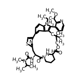 CCn1c(-c2cccnc2[C@H](C)OC)c2c3cc(ccc31)-c1csc(n1)C[C@H](NC(=O)N(C)C(C)C)C(=O)N1CCC[C@H](N1)C(=O)OCC(C)(C)C2